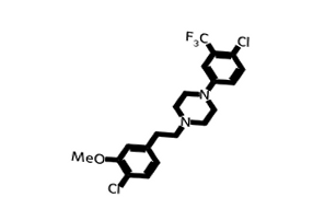 COc1cc(CCN2CCN(c3ccc(Cl)c(C(F)(F)F)c3)CC2)ccc1Cl